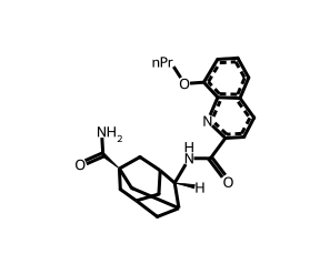 CCCOc1cccc2ccc(C(=O)N[C@H]3C4CC5CC3C[C@](C(N)=O)(C5)C4)nc12